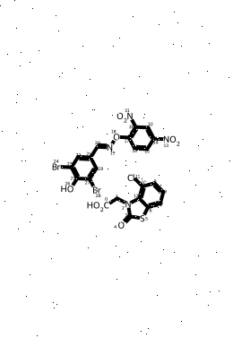 O=C(O)Cn1c(=O)sc2cccc(Cl)c21.O=[N+]([O-])c1ccc(O/N=C/c2cc(Br)c(O)c(Br)c2)c([N+](=O)[O-])c1